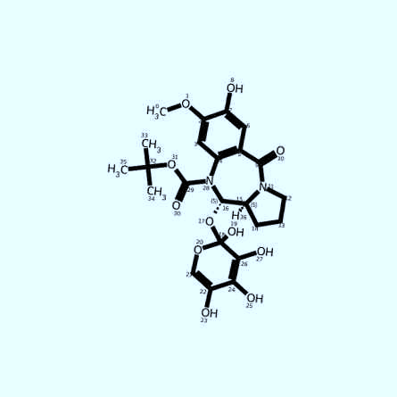 COc1cc2c(cc1O)C(=O)N1CCC[C@H]1[C@H](OC1(O)OC=C(O)C(O)=C1O)N2C(=O)OC(C)(C)C